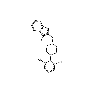 Cn1c(CN2CCC(c3c(Cl)cccc3Cl)CC2)cc2ccccc21